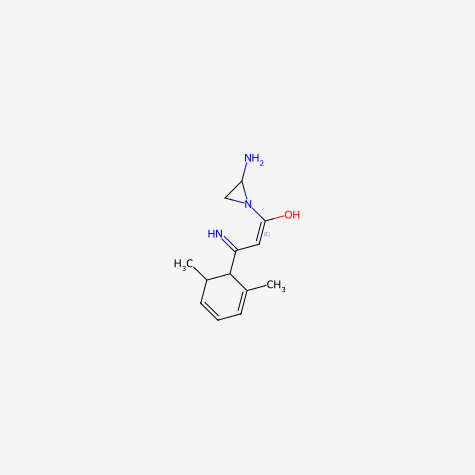 CC1=CC=CC(C)C1C(=N)/C=C(/O)N1CC1N